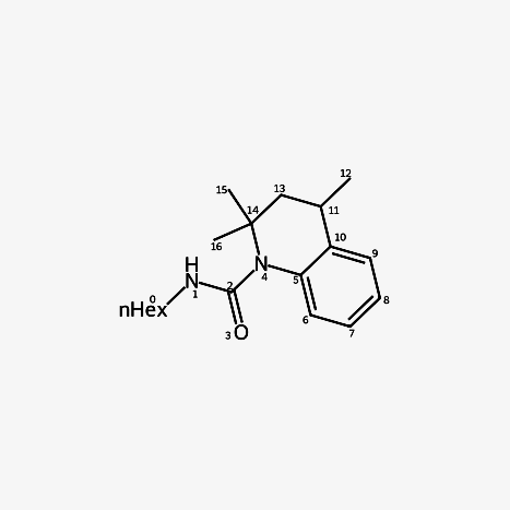 CCCCCCNC(=O)N1c2ccccc2C(C)CC1(C)C